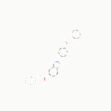 O=C(Nc1ccccn1)c1ccc(-c2nc3cc(C(=O)NC4CC5CCC4C5)ccc3[nH]2)cc1